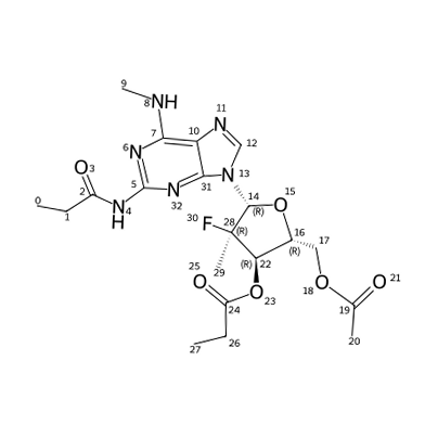 CCC(=O)Nc1nc(NC)c2ncn([C@@H]3O[C@H](COC(C)=O)[C@@H](OC(=O)CC)[C@@]3(C)F)c2n1